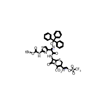 CC(C)(C)OC(=O)Nc1nc(/C(=N\OC(c2ccccc2)(c2ccccc2)c2ccccc2)C(=O)NC2C(=O)N3C(C(=O)O)=C(/C=C/OS(=O)(=O)C(F)(F)F)CSC23)cs1